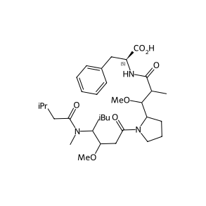 CCC(C)C(C(CC(=O)N1CCCC1C(OC)C(C)C(=O)N[C@@H](Cc1ccccc1)C(=O)O)OC)N(C)C(=O)CC(C)C